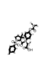 Cc1ccc(S(=O)(=O)N2CCC(C)(C)[C@H]2C(=O)N(c2ccc(OC(=O)N(C)C)cc2)[C@@H](C)C(=O)O)cc1